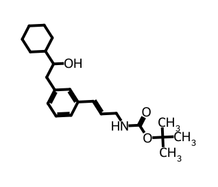 CC(C)(C)OC(=O)NCC=Cc1cccc(CC(O)C2CCCCC2)c1